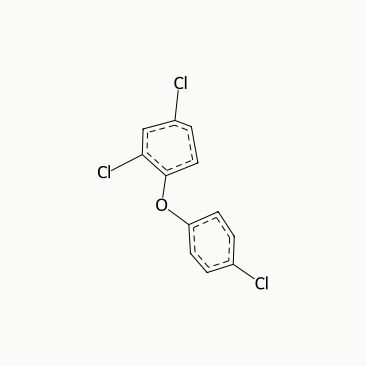 Clc1ccc(Oc2ccc(Cl)cc2Cl)cc1